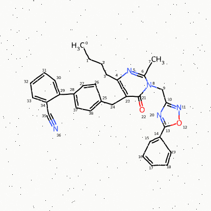 CCCCc1nc(C)n(Cc2noc(-c3ccccc3)n2)c(=O)c1Cc1ccc(-c2ccccc2C#N)cc1